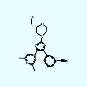 Cc1cc(-c2sc(N3CCO[C@@H](CO)C3)nc2-c2cccc(C#N)c2)cc(C)n1